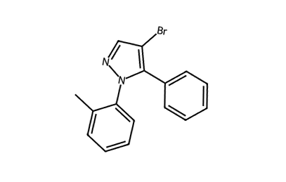 Cc1ccccc1-n1ncc(Br)c1-c1ccccc1